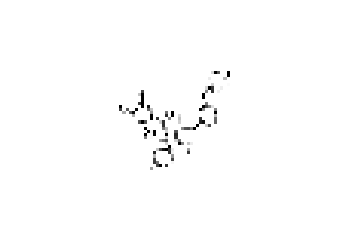 CN1CCN(c2c(F)cc(-c3cccc(CN4CCOCC4)c3)c(F)c2NC(=O)c2c[nH]c(=O)cc2C(F)(F)F)CC1